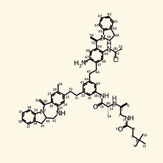 C=C(CNC(=O)CCC(C)(C)C)N[C@H](C)C(=O)Nc1cc(CCc2cc3c(cc2C)C(=C)N2c4ccccc4CC2CN3)cc(CCc2cc(N[C@@H](C)Cl)c(C(=C)N3CCc4ccccc43)cc2N)c1